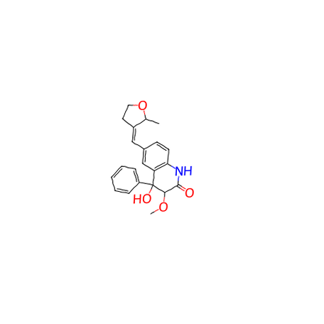 COC1C(=O)Nc2ccc(C=C3CCOC3C)cc2C1(O)c1ccccc1